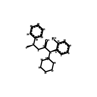 C[C@H](CC(=O)[C@@H](c1ccccc1F)N1CCCCC1)c1ccccc1